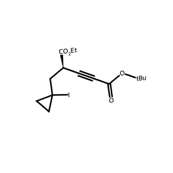 CCOC(=O)[C@@H](C#CC(=O)OC(C)(C)C)CC1(I)CC1